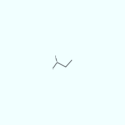 CCI(I)I